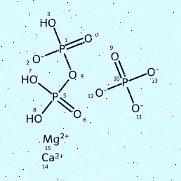 O=P([O-])(O)OP(=O)(O)O.O=P([O-])([O-])[O-].[Ca+2].[Mg+2]